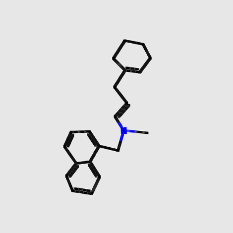 CN(C=CCC1=CCCCC1)Cc1cccc2ccccc12